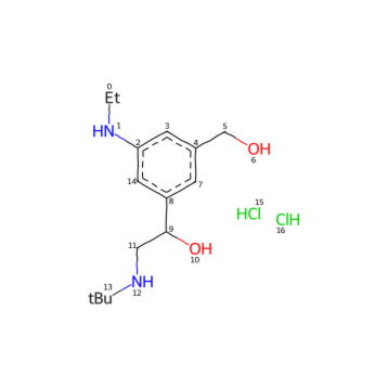 CCNc1cc(CO)cc(C(O)CNC(C)(C)C)c1.Cl.Cl